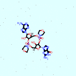 Nc1nc2c(ncn2[C@@H]2O[C@@H]3COP(=O)(N4CCOCC4)OC4C(O)[C@H](n5cnc6c(N)ncnc65)O[C@@H]4COP(=O)(N4CCOCC4)OC2C3O)c(=O)[nH]1